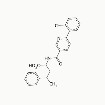 CC(CC(NC(=O)c1ccc(-c2ccccc2Cl)nc1)C(=O)O)c1ccccc1